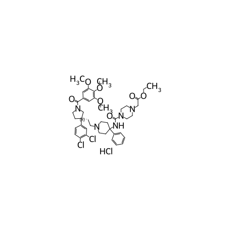 CCOC(=O)CN1CCN(C(=O)NC2(c3ccccc3)CCN(CC[C@]3(c4ccc(Cl)c(Cl)c4)CCN(C(=O)c4cc(OC)c(OC)c(OC)c4)C3)CC2)CC1.Cl